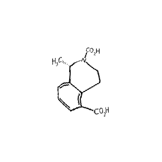 C[C@H]1c2cccc(C(=O)O)c2CCN1C(=O)O